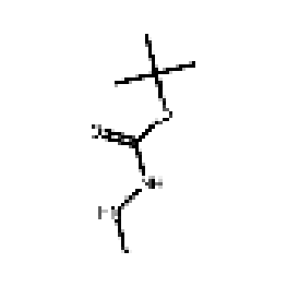 [CH2]NNC(=O)OC(C)(C)C